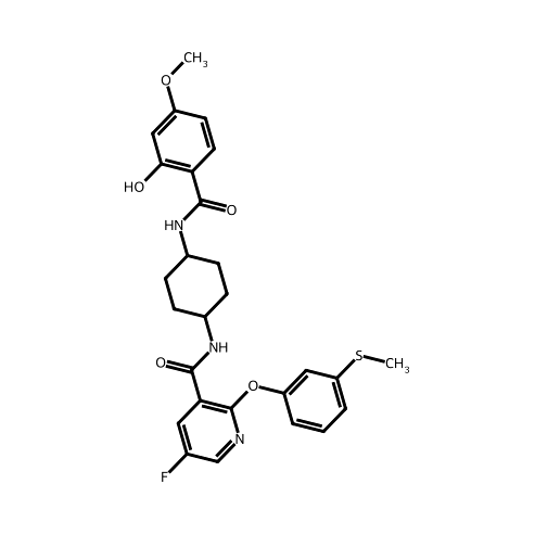 COc1ccc(C(=O)NC2CCC(NC(=O)c3cc(F)cnc3Oc3cccc(SC)c3)CC2)c(O)c1